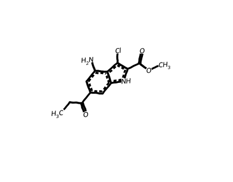 CCC(=O)c1cc(N)c2c(Cl)c(C(=O)OC)[nH]c2c1